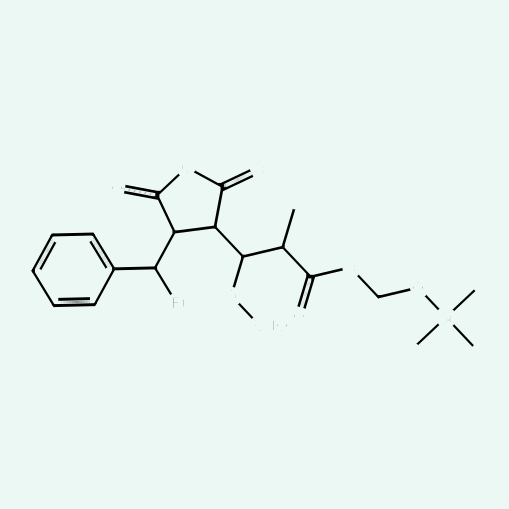 CCC(c1ccccc1)C1C(=O)OC(=O)C1C(OC=O)C(C)C(=O)OCO[Si](C)(C)C